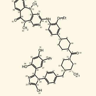 CCOc1cc(N2CCC(C(=O)N3CCN(Cc4ccc(-n5c(O)nnc5-c5cc(C(C)C)c(O)cc5O)cc4)[C@@H](C)C3)CC2)ccc1Nc1ncc2c(n1)N(C)c1ccccc1C(=O)N2C